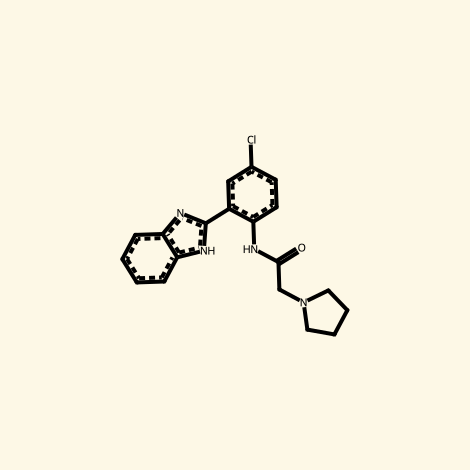 O=C(CN1CCCC1)Nc1ccc(Cl)cc1-c1nc2ccccc2[nH]1